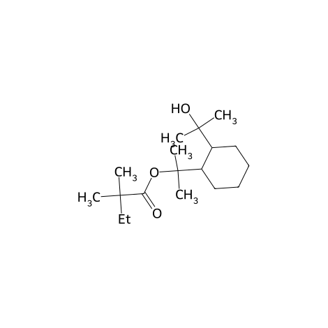 CCC(C)(C)C(=O)OC(C)(C)C1CCCCC1C(C)(C)O